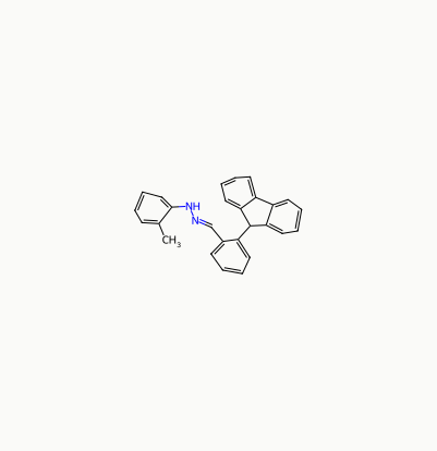 Cc1ccccc1NN=Cc1ccccc1C1c2ccccc2-c2ccccc21